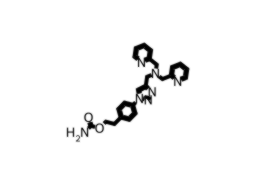 NC(=O)OCCc1ccc(-n2cc(CN(Cc3ccccn3)Cc3ccccn3)nn2)cc1